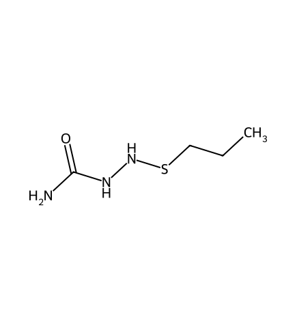 CCCSNNC(N)=O